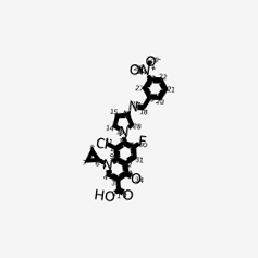 O=C(O)c1cn(C2CC2)c2c(Cl)c(N3CC[C@H](N=Cc4cccc([N+](=O)[O-])c4)C3)c(F)cc2c1=O